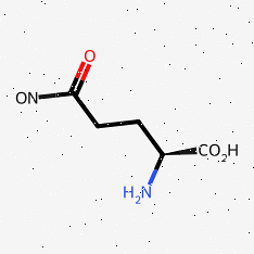 N[C@@H](CCC(=O)N=O)C(=O)O